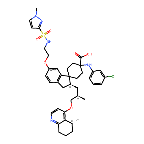 C[C@@H](COc1ccnc2c1[C@H](C)CCC2)C[C@H]1Cc2ccc(OCCNS(=O)(=O)c3ccn(C)n3)cc2C12CCC(Nc1cccc(Cl)c1)(C(=O)O)CC2